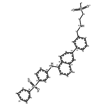 CS(=O)(=O)CCNCc1cccc(-c2ccc3c(Nc4ccc(S(=O)(=O)c5ccccc5)cc4)ccnc3c2)c1